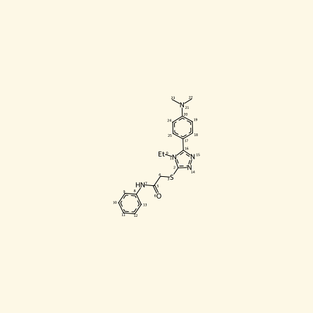 CCn1c(SCC(=O)Nc2ccccc2)nnc1-c1ccc(N(C)C)cc1